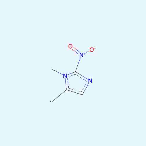 [CH2]c1cnc([N+](=O)[O-])n1C